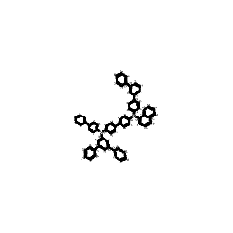 c1ccc(-c2ccc(N(c3ccc(-c4ccc(N(c5ccc(-c6cccc(-c7ccccc7)c6)cc5)c5cccc6ccccc56)cc4)cc3)c3cc(-c4ccccc4)cc(-c4ccccc4)c3)cc2)cc1